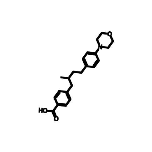 CC(CCc1ccc(N2CCOCC2)cc1)Cc1ccc(C(=O)O)cc1